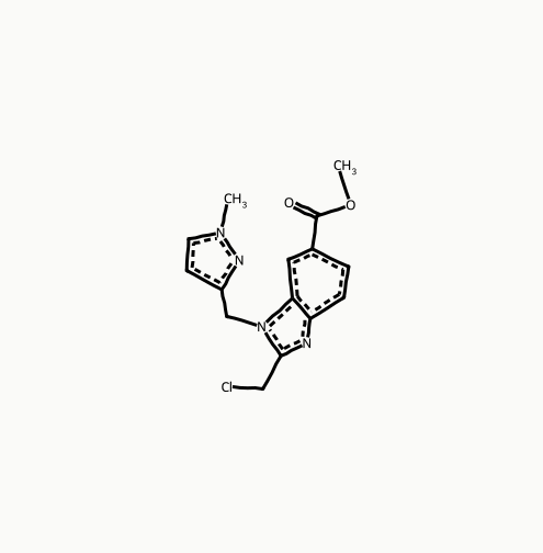 COC(=O)c1ccc2nc(CCl)n(Cc3ccn(C)n3)c2c1